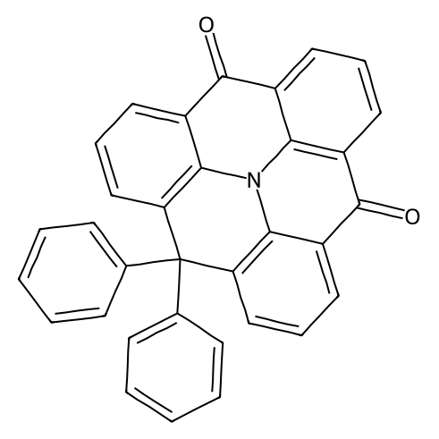 O=c1c2cccc3c2n2c4c(cccc4c(=O)c4cccc1c42)C3(c1ccccc1)c1ccccc1